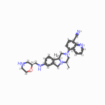 C[C@@H]1CN(c2ccc(C#N)c3ncccc23)C[C@@H]2c3ccc(NC[C@@H]4CNCCO4)cc3CN12